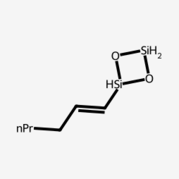 CCCCC=C[SiH]1O[SiH2]O1